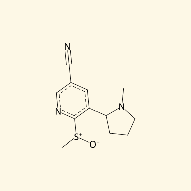 CN1CCCC1c1cc(C#N)cnc1[S+](C)[O-]